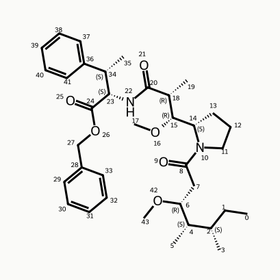 CC[C@H](C)[C@H](C)[C@@H](CC(=O)N1CCC[C@H]1[C@H](OC)[C@@H](C)C(=O)N[C@H](C(=O)OCc1ccccc1)[C@@H](C)c1ccccc1)OC